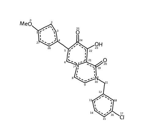 COc1ccc(-c2cn3ccn(Cc4cccc(Cl)c4)c(=O)c3c(O)c2=O)cc1